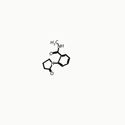 CNC(=O)c1ccccc1N1CCCC1=O